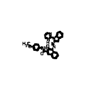 COc1ccc(NC(=O)c2cc3ccccc3c(/N=N/c3cc4ccccc4n3-c3ncccn3)c2O)cc1